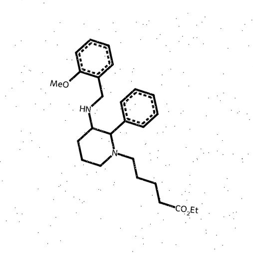 CCOC(=O)CCCCN1CCCC(NCc2ccccc2OC)C1c1ccccc1